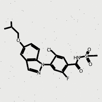 CC(C)COc1ccc2c(cnn2-c2cc(F)c(C(=O)NS(C)(=O)=O)cc2Cl)c1